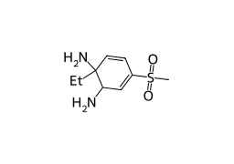 CCC1(N)C=CC(S(C)(=O)=O)=CC1N